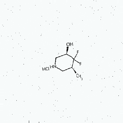 C[C@H]1CNC[C@@H](O)C1(F)F.Cl